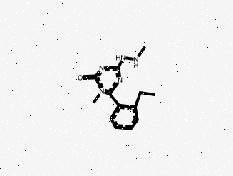 CCc1ccccc1-c1nc(NNC)nc(=O)n1C